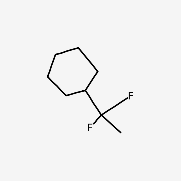 CC(F)(F)[C]1CCCCC1